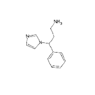 NCCC(c1ccccc1)n1ccnc1